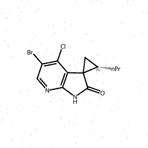 CCC[C@H]1CC12C(=O)Nc1ncc(Br)c(Cl)c12